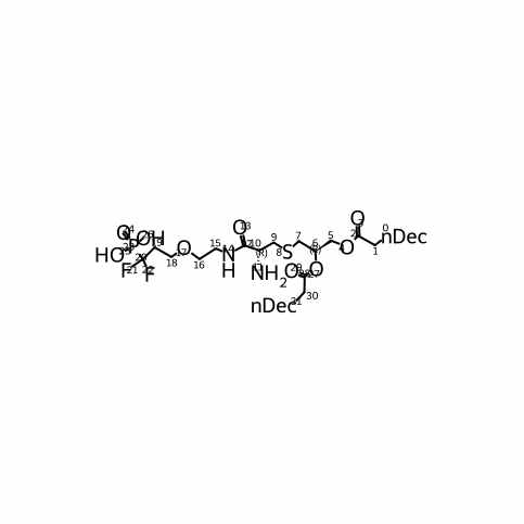 CCCCCCCCCCCC(=O)OC[C@H](CSC[C@H](N)C(=O)NCCOCCC(F)(F)P(=O)(O)O)OC(=O)CCCCCCCCCCC